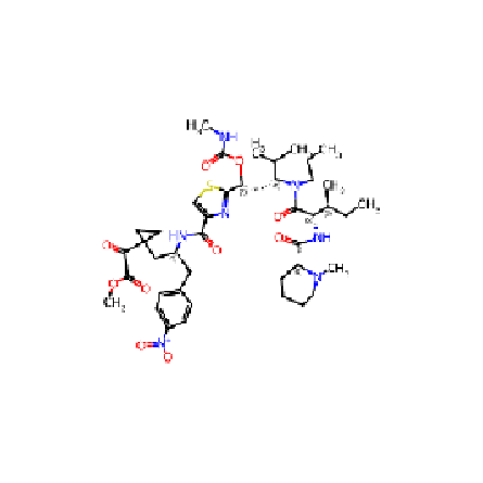 CCCN(C(=O)[C@@H](NC(=O)[C@H]1CCCCN1C)[C@@H](C)CC)[C@H](C[C@@H](OC(=O)NC)c1nc(C(=O)N[C@@H](Cc2ccc([N+](=O)[O-])cc2)CC2(C(=O)C(=O)OC)CC2)cs1)C(C)C